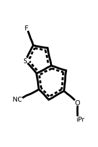 CC(C)Oc1cc(C#N)c2sc(F)cc2c1